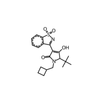 CC(C)(C)C1C(O)=C(C2=NS(=O)(=O)c3ccccc32)C(=O)N1CC1CCC1